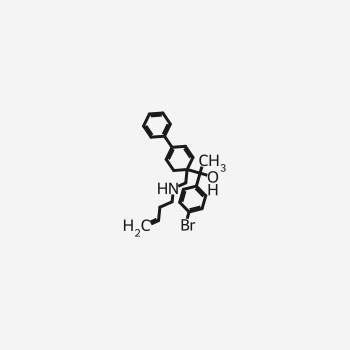 C=CCCNCC1(C(C)(O)c2ccc(Br)cc2)C=CC(c2ccccc2)=CC1